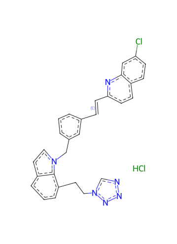 Cl.Clc1ccc2ccc(/C=C/c3cccc(Cn4ccc5cccc(CCn6cnnn6)c54)c3)nc2c1